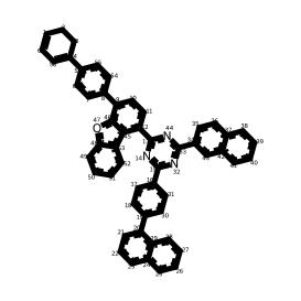 C1=CCCC(c2ccc(-c3ccc(-c4nc(-c5ccc(-c6cccc7ccccc67)cc5)nc(-c5ccc6ccccc6c5)n4)c4c3oc3ccccc34)cc2)=C1